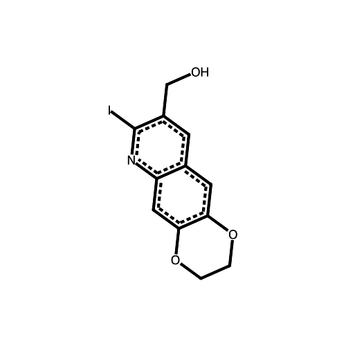 OCc1cc2cc3c(cc2nc1I)OCCO3